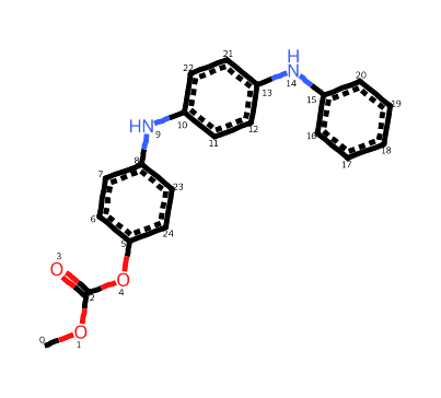 COC(=O)Oc1ccc(Nc2ccc(Nc3ccccc3)cc2)cc1